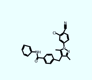 Cc1nn(-c2ccc(C#N)c(Cl)c2)c(C)c1Cc1ccc(C(=O)Nc2ccccc2)cc1